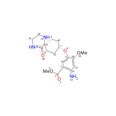 COC(=O)c1cc(O[C@H]2CC[C@@]3(CC2)NCCNC3=O)c(OC)cc1N